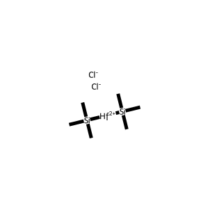 C[Si](C)(C)[Hf+2][Si](C)(C)C.[Cl-].[Cl-]